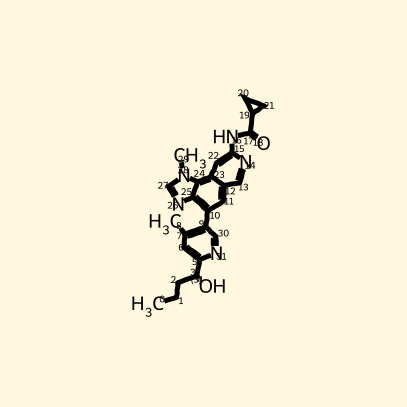 CCC[C@H](O)c1cc(C)c(-c2cc3cnc(NC(=O)C4CC4)cc3c3c2ncn3C)cn1